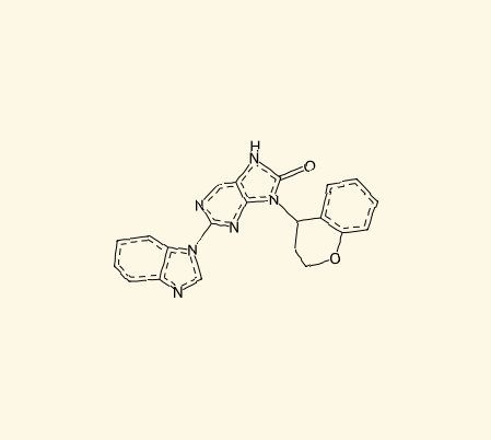 O=c1[nH]c2cnc(-n3cnc4ccccc43)nc2n1C1CCOc2ccccc21